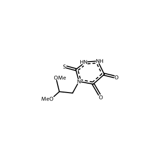 COC(Cn1c(=S)[nH][nH]c(=O)c1=O)OC